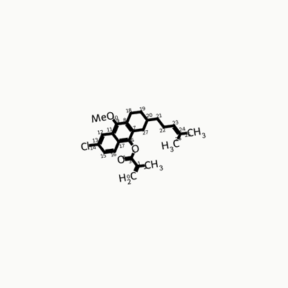 C=C(C)C(=O)Oc1c2c(c(OC)c3cc(Cl)ccc13)CCC(CCC=C(C)C)C2